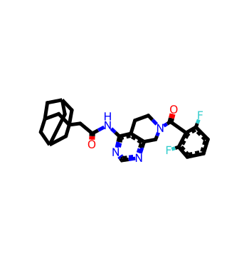 O=C(CC12CC3CC(CC(C3)C1)C2)Nc1ncnc2c1CCN(C(=O)c1c(F)cccc1F)C2